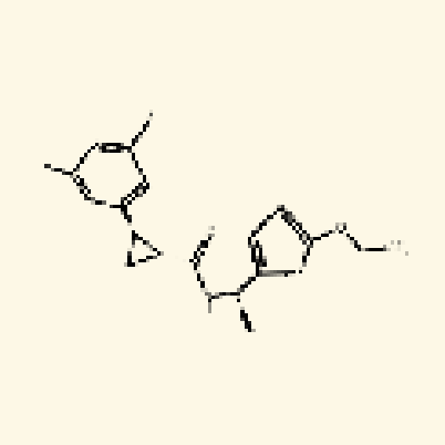 C[C@@H](NC(=O)[C@@H]1C[C@H]1c1cc(F)cc(F)c1)c1ccc(OCC(F)(F)F)s1